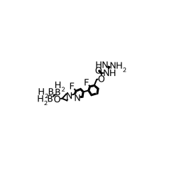 BC(B)(B)OC1CN(c2ncc(-c3cccc(COC(=O)NC(=N)N)c3F)cc2F)C1